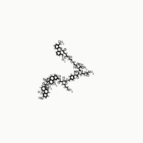 C=Cc1ccccc1N(Cc1ccccc1CC)C(=O)CCC(=O)NCCOCCC(=O)N[C@H](C(=O)N[C@@H](CCCNC(N)=O)C(=O)Nc1ccc(COC(=O)N[C@@H](CCCCN)C(=O)Nc2ccc3c(c2)[C@@]2(C)CCC[C@](C)(C(=O)NC(=O)[C@@]4(C)CCC[C@]5(C)c6cc(O)ccc6CC[C@@H]45)[C@@H]2CC3)cc1)C(C)C